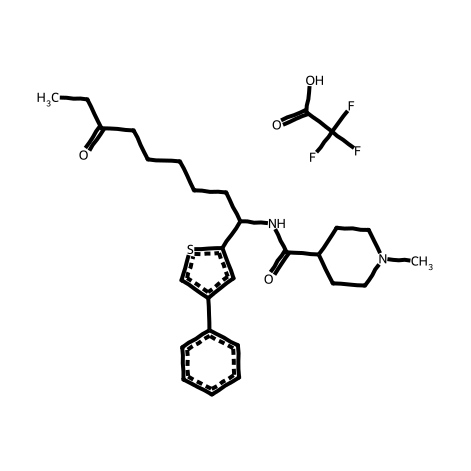 CCC(=O)CCCCCC(NC(=O)C1CCN(C)CC1)c1cc(-c2ccccc2)cs1.O=C(O)C(F)(F)F